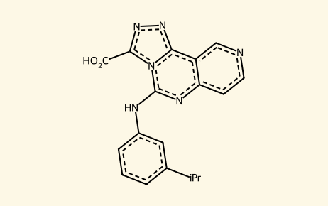 CC(C)c1cccc(Nc2nc3ccncc3c3nnc(C(=O)O)n23)c1